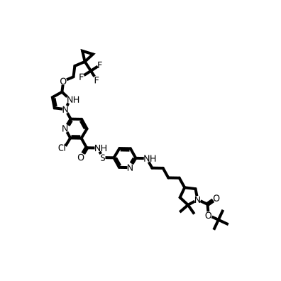 CC(C)(C)OC(=O)N1CC(CCCCNc2ccc(SNC(=O)c3ccc(N4C=CC(OCCC5(C(F)(F)F)CC5)N4)nc3Cl)cn2)CC1(C)C